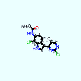 COC(=O)Nc1ccc2c(-c3nc(Cl)ncc3C(F)(F)F)c[nH]c2c1Cl